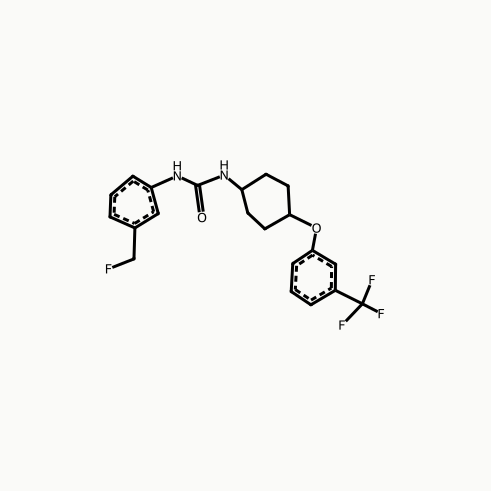 O=C(Nc1cccc(CF)c1)NC1CCC(Oc2cccc(C(F)(F)F)c2)CC1